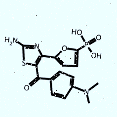 CN(C)c1ccc(C(=O)c2sc(N)nc2-c2ccc(P(=O)(O)O)o2)cc1